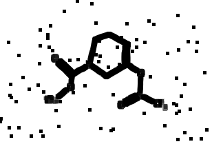 CC(C)(C)OC(=O)N1CCC=C(OS(=O)C(F)(F)F)C1